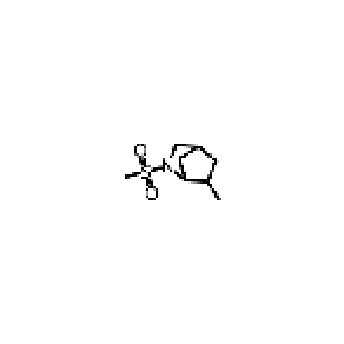 CC1CC2CC1N(S(C)(=O)=O)C2